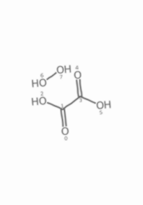 O=C(O)C(=O)O.OO